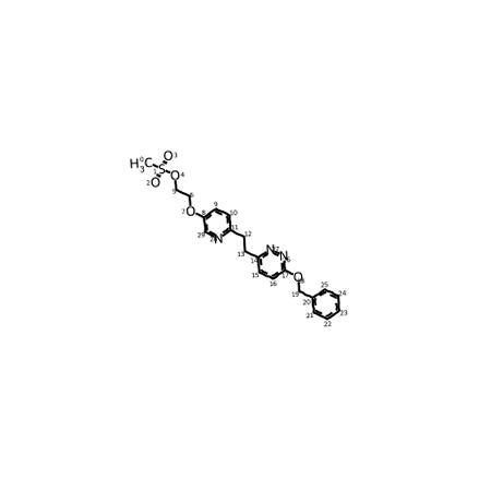 CS(=O)(=O)OCCOc1ccc(CCc2ccc(OCc3ccccc3)nn2)nc1